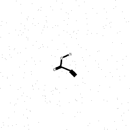 C#CC(=O)[O][Ti]